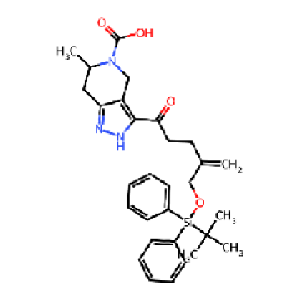 C=C(CCC(=O)c1[nH]nc2c1CN(C(=O)O)C(C)C2)CO[Si](c1ccccc1)(c1ccccc1)C(C)(C)C